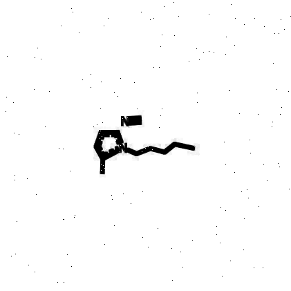 C#N.CCCCCn1cccc1C